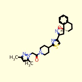 Cc1cc(C)n(CC(=O)N2CCC(c3nc(C4=NO[C@]5(CCCc6ccccc65)C4)cs3)CC2)n1